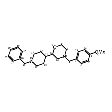 COc1ccc(CN2CCOC(C3CCN(Cc4ccccc4)CC3)C2)cc1